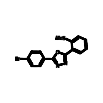 CSc1ccccc1-c1nnc(-c2ccc(Br)cc2)o1